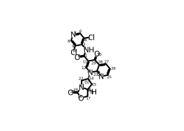 O=C(Nc1c(Cl)cncc1Cl)c1cn([C@H]2C[C@H]3COC(=O)N3C2)c2ncccc2c1=O